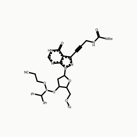 [2H]OCC1OC(n2nc(C#CCNC(=O)NC)c3c(=O)[nH]cnc32)CC1OP(OCCC#N)C(C(C)C)C(C)C